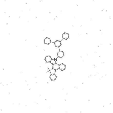 CC1(C)c2ccccc2-c2c1c1c3ccccc3n(-c3cccc(-c4cc(-c5ccccc5)cc(-c5ccccc5)c4)c3)c1c1ccccc21